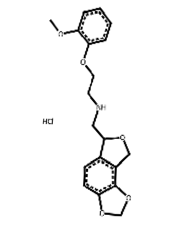 COc1ccccc1OCCNCC1OCc2c1ccc1c2OCO1.Cl